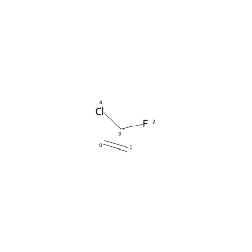 C=C.F[CH]Cl